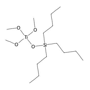 CCCC[Si](CCCC)(CCCC)[O][Ti]([O]C)([O]C)[O]C